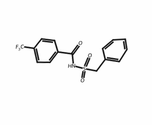 O=C(NS(=O)(=O)Cc1ccccc1)c1ccc(C(F)(F)F)cc1